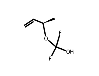 C=C[C@@H](C)OC(O)(F)F